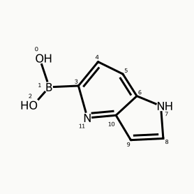 OB(O)c1ccc2[nH]ccc2n1